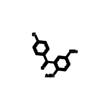 COc1ccc(NC(C)=O)c(C(=O)c2ccc(Cl)cc2)c1